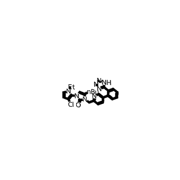 CCCCc1cn(-c2c(Cl)ccn2CC)c(=O)n1Cc1ccc(-c2ccccc2-c2nnn[nH]2)cn1